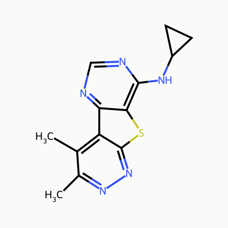 Cc1nnc2sc3c(NC4CC4)ncnc3c2c1C